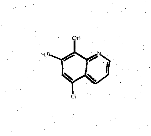 Bc1cc(Cl)c2cccnc2c1O